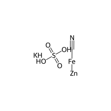 N#[C][Fe][Zn].O=S(=O)(O)O.[KH]